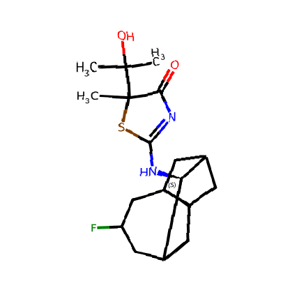 CC(C)(O)C1(C)SC(N[C@@H]2C3CC(F)CC4CC2CC4C3)=NC1=O